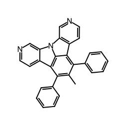 Cc1c(-c2ccccc2)c2c3ccncc3n3c4cnccc4c(c1-c1ccccc1)c23